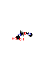 Oc1cc(O)cc(CN2C[C@@H]3[C@H](COCCCN4CCCCC4)[C@@H]3C2)c1